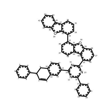 C1=CC(c2ccccc2)Cc2ccc(-c3nc(-c4ccccc4)nc(-c4cccc5oc6c(-c7cccc8c7oc7ccccc78)cccc6c45)n3)cc21